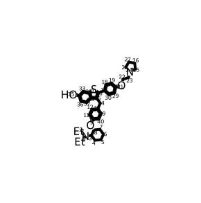 CCN(CC)C1CCCCC1Oc1ccc(Cc2c(-c3ccc(OCCN4CCCC4)cc3)sc3cc(O)ccc23)cc1